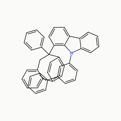 c1ccc(-c2cccc(-n3c4ccccc4c4cccc(C5(c6ccccc6)Cc6ccccc6-c6ccc5cc6)c43)c2)cc1